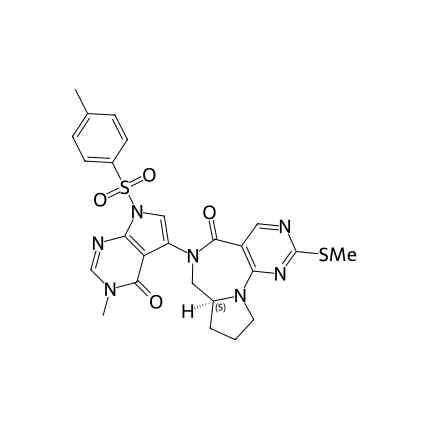 CSc1ncc2c(n1)N1CCC[C@H]1CN(c1cn(S(=O)(=O)c3ccc(C)cc3)c3ncn(C)c(=O)c13)C2=O